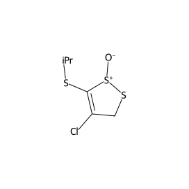 CC(C)SC1=C(Cl)CS[S+]1[O-]